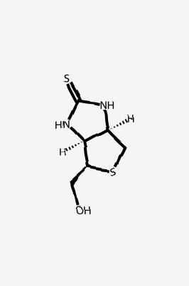 OC[C@@H]1SC[C@@H]2NC(=S)N[C@@H]21